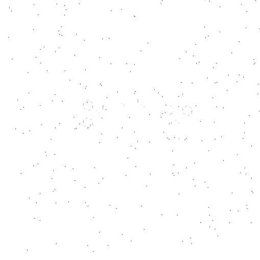 O=C(CCN1CCC(OC(=O)Nc2ccccc2-c2ccccc2)CC1)NCCCCCN(Cc1ccc(O)cc1)C(=O)CN1CCC(O)CC1